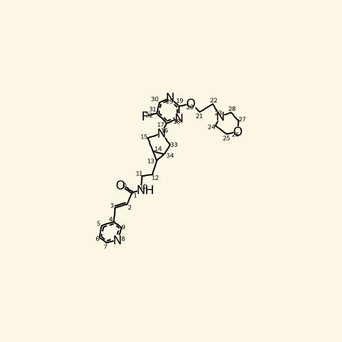 O=C(/C=C/c1cccnc1)NCCC1C2CN(c3nc(OCCN4CCOCC4)ncc3F)CC12